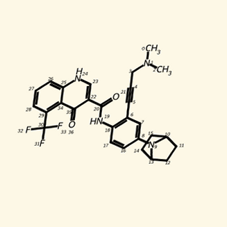 CN(C)CC#Cc1cc(N2C3CCC2CC3)ccc1NC(=O)c1c[nH]c2cccc(C(F)(F)F)c2c1=O